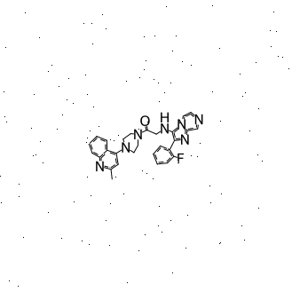 Cc1cc(N2CCN(C(=O)CNc3c(-c4ccccc4F)nc4cnccn34)CC2)c2ccccc2n1